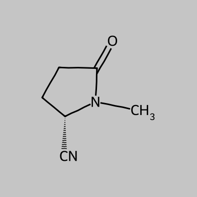 CN1C(=O)CC[C@H]1C#N